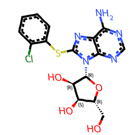 Nc1ncnc2c1nc(Sc1ccccc1Cl)n2[C@@H]1O[C@H](CO)[C@@H](O)[C@H]1O